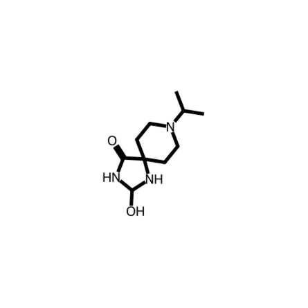 CC(C)N1CCC2(CC1)NC(O)NC2=O